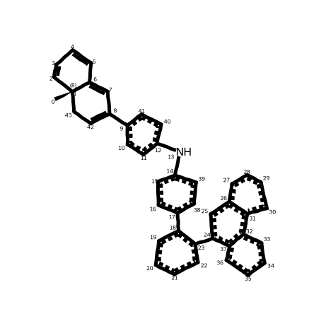 C[C@@]12C=CC=CC1=CC(c1ccc(Nc3ccc(-c4ccccc4-c4cc5ccccc5c5ccccc45)cc3)cc1)=CC2